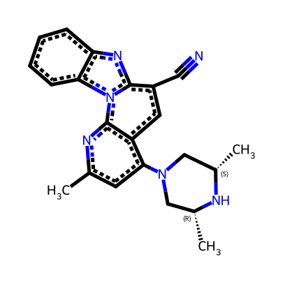 Cc1cc(N2C[C@@H](C)N[C@@H](C)C2)c2cc(C#N)c3nc4ccccc4n3c2n1